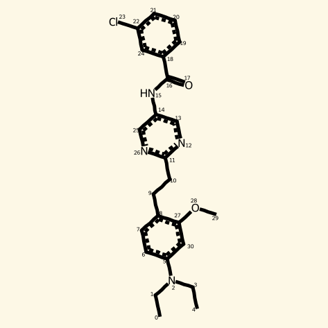 CCN(CC)c1ccc(CCc2ncc(NC(=O)c3cccc(Cl)c3)cn2)c(OC)c1